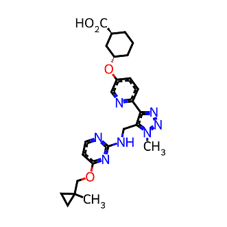 Cn1nnc(-c2ccc(O[C@H]3CCC[C@H](C(=O)O)C3)cn2)c1CNc1nccc(OCC2(C)CC2)n1